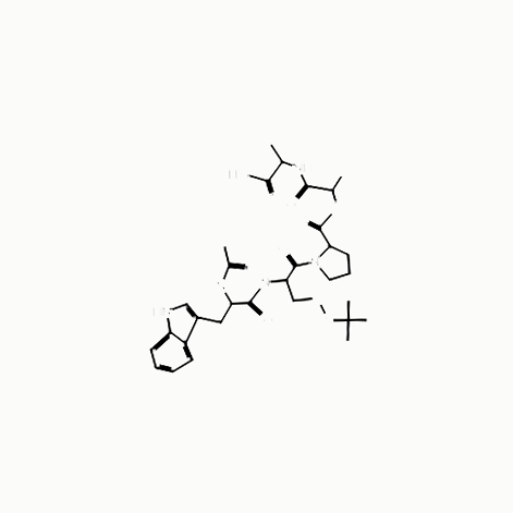 CC(=O)NC(Cc1c[nH]c2ccccc12)C(=O)NC(CSSC(C)(C)C)C(=O)N1CCCC1C(=O)OC(C)C(=O)NC(C)C(=O)O